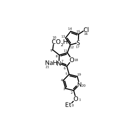 CCOc1ccc(-c2nc(CC(=O)O)c(-c3ccc(Cl)s3)o2)cn1.[NaH]